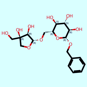 OC[C@@]1(O)CO[C@@H](OC[C@H]2O[C@@H](OCc3ccccc3)[C@H](O)[C@@H](O)[C@@H]2O)[C@@H]1O